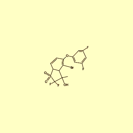 CC1(O)C2C(Br)=C(Oc3cc(F)cc(F)c3)C=CC2S(=O)(=O)C1(F)F